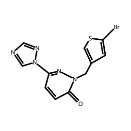 O=c1ccc(-n2cncn2)nn1Cc1csc(Br)c1